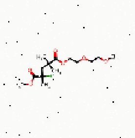 COCCOCCOC(=O)C(C)(C)CC(C)(Br)C(=O)OC